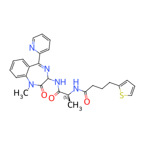 C[C@H](NC(=O)CCCc1cccs1)C(=O)NC1N=C(c2ccccn2)c2ccccc2N(C)C1=O